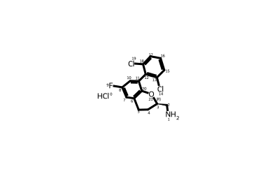 Cl.NC[C@H]1CCc2cc(F)cc(-c3c(Cl)cccc3Cl)c2O1